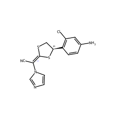 N#C/C(=C1\SC[C@@H](c2ccc(N)cc2Cl)S1)n1ccnc1